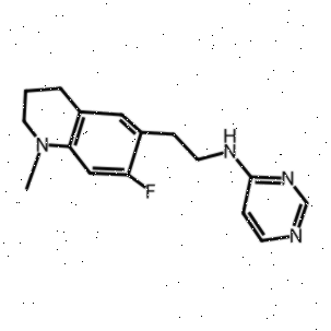 CN1CCCc2cc(CCNc3ccncn3)c(F)cc21